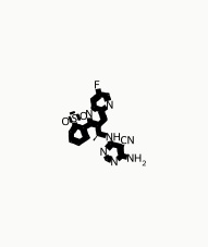 C[C@@H](Nc1ncnc(N)c1C#N)c1cc2ncc(F)cc2nc1-c1ccccc1S(C)(=O)=O